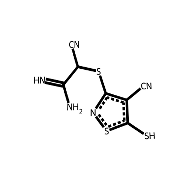 N#Cc1c(SC(C#N)C(=N)N)nsc1S